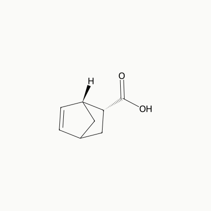 O=C(O)[C@@H]1CC2C=C[C@H]1C2